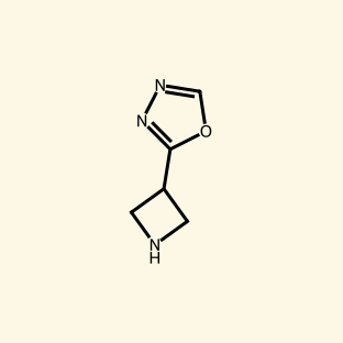 c1nnc(C2CNC2)o1